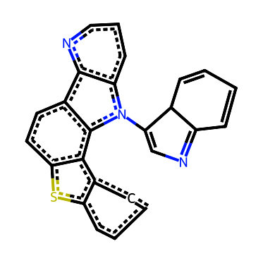 C1=CC2=NC=C(n3c4cccnc4c4ccc5sc6ccccc6c5c43)C2C=C1